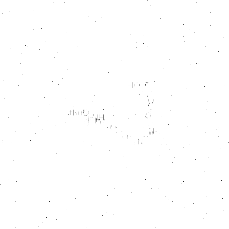 CN(CCOCCOCCONC(=O)OC(C)(C)C)CCN(C)CCOCCOCCC(=O)O